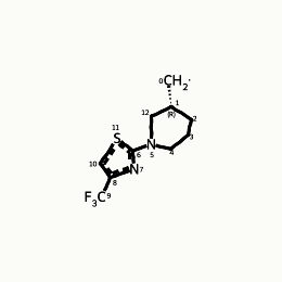 [CH2][C@@H]1CCCN(c2nc(C(F)(F)F)cs2)C1